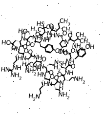 CC[C@H](C)[C@H](NC(=O)[C@@H]1C[C@@H](O)CN1C(=O)[C@@H](N)C(C)C)C(=O)N[C@H](C(=O)N[C@@H](Cc1ccc(O)cc1)C(=O)N[C@@H](CO)C(=O)N[C@@H](CC(=O)O)C(=O)N[C@@H](CCCNC(=N)N)C(=O)N[C@@H](CCN)C(=O)N[C@H](C(=O)N[C@H](CCN)C(=O)N[C@@H](CCCCN)C(=O)N[C@@H](CCN)C(=O)N[C@@H](CCN)C(=O)N[C@@H](CS)C(=O)N[C@@H](Cc1ccc(O)cc1)C(=O)O)[C@@H](C)O)C(C)(C)S